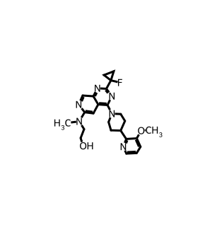 COc1cccnc1C1CCN(c2nc(C3(F)CC3)nc3cnc(N(C)CCO)cc23)CC1